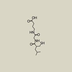 CC(C)CC(CS)C(=O)NCC(=O)NCCCC(=O)O